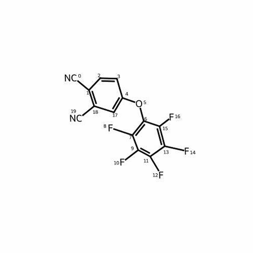 N#Cc1ccc(Oc2c(F)c(F)c(F)c(F)c2F)cc1C#N